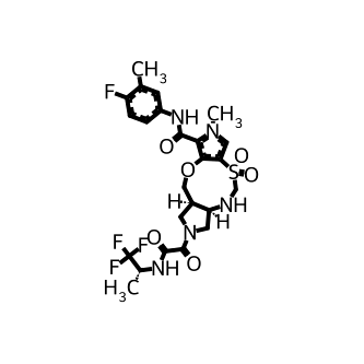 Cc1cc(NC(=O)c2c3c(cn2C)S(=O)(=O)CN[C@H]2CN(C(=O)C(=O)N[C@H](C)C(F)(F)F)C[C@H]2CO3)ccc1F